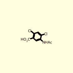 CC(=O)Nc1cc(C(=O)O)c(Cl)cc1Cl